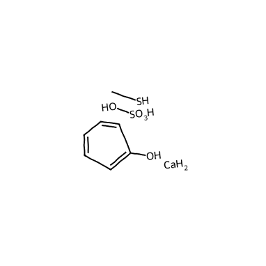 CS.O=S(=O)(O)O.Oc1ccccc1.[CaH2]